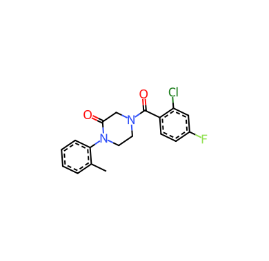 Cc1ccccc1N1CCN(C(=O)c2ccc(F)cc2Cl)CC1=O